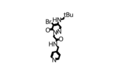 CC(C)(C)CNc1cnn(CC(=O)NCc2ccncc2)c(=O)c1Br